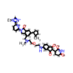 CCN1C=[N+]=C1c1cccc(N2Cc3c(CN(C)CCOCCNc4ccc5c(c4)C(=O)C(C4CCC(=O)NC4=O)C5=O)cc(C4CCC[C@H]4C)cc3C2=O)n1